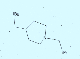 CC(C)CN1CCC(CC(C)(C)C)CC1